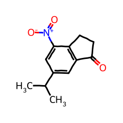 CC(C)c1cc2c(c([N+](=O)[O-])c1)CCC2=O